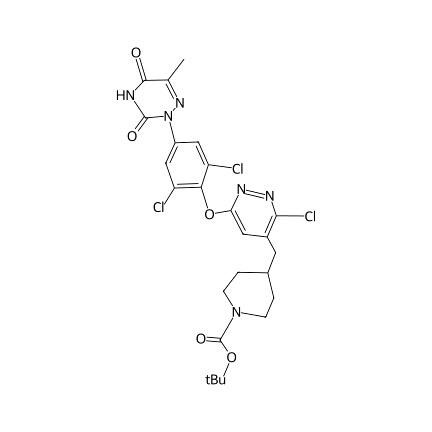 Cc1nn(-c2cc(Cl)c(Oc3cc(CC4CCN(C(=O)OC(C)(C)C)CC4)c(Cl)nn3)c(Cl)c2)c(=O)[nH]c1=O